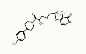 CC(COCC(O)C(=O)N1CCN(c2ccc(C#N)cn2)CC1)Oc1cn[nH]c(=O)c1C(F)(F)F